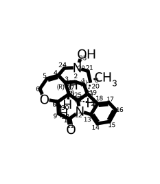 C[C@H]1C[C@H]2C3=CCO[C@H]4CC(=O)N5c6ccccc6[C@@]1(CCN(O)C3)[C@@H]5[C@H]42